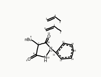 C=CC.C=CC.CCCCC1C(=O)NN(c2ccccc2)C1=O